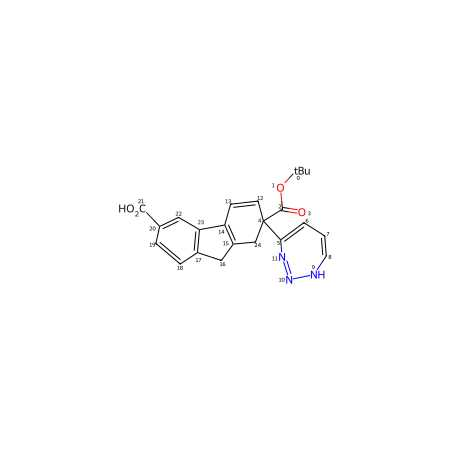 CC(C)(C)OC(=O)C1(C2=CC=CNN=N2)C=CC2=C(Cc3ccc(C(=O)O)cc32)C1